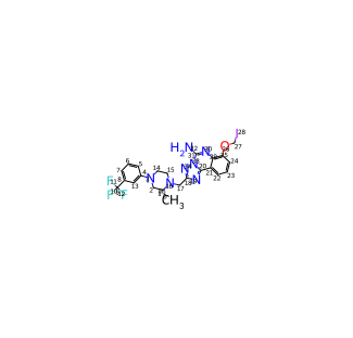 C[C@@H]1CN(c2cccc(C(F)(F)F)c2)CCN1Cc1nc2c3cccc(OCI)c3nc(N)n2n1